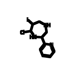 ClC1NC(c2ccccn2)CNCC1I